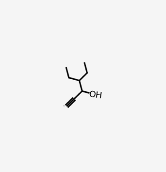 [C]#CC(O)C(CC)CC